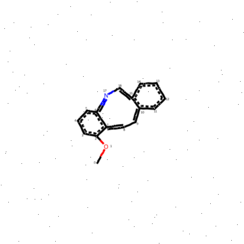 COc1cccc2c1=CC=c1ccccc1=CN=2